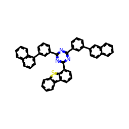 c1cc(-c2ccc3ccccc3c2)cc(-c2nc(-c3cccc(-c4cccc5ccccc45)c3)nc(-c3cccc4c3sc3ccccc34)n2)c1